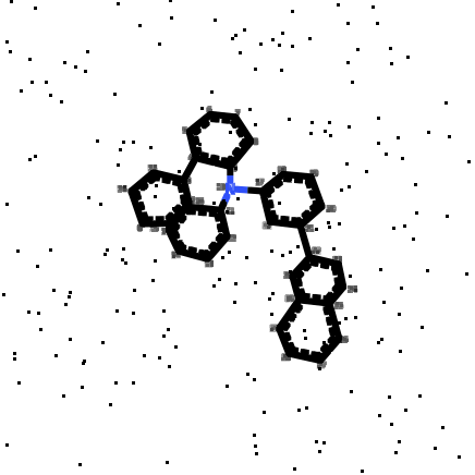 c1ccc(-c2ccccc2N(c2ccccc2)c2cccc(-c3ccc4ccccc4c3)c2)cc1